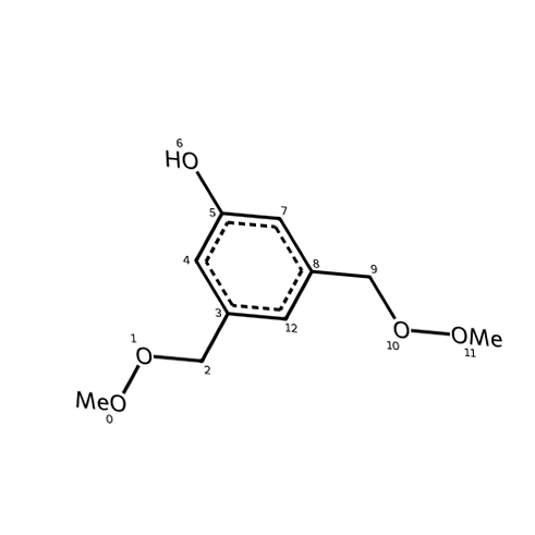 COOCc1cc(O)cc(COOC)c1